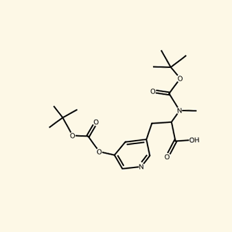 CN(C(=O)OC(C)(C)C)C(Cc1cncc(OC(=O)OC(C)(C)C)c1)C(=O)O